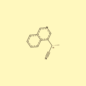 C[C@H](C#N)c1cncc2ccccc12